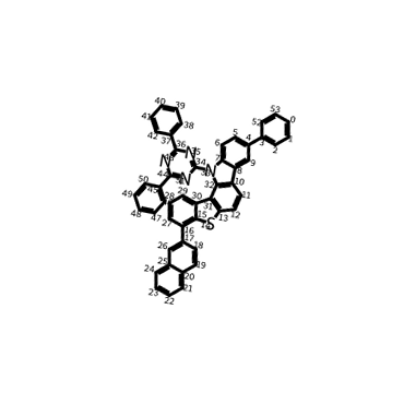 c1ccc(-c2ccc3c(c2)c2ccc4sc5c(-c6ccc7ccccc7c6)cccc5c4c2n3-c2nc(-c3ccccc3)nc(-c3ccccc3)n2)cc1